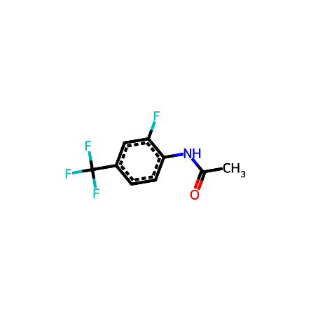 CC(=O)Nc1ccc(C(F)(F)F)cc1F